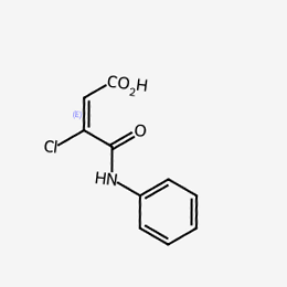 O=C(O)/C=C(/Cl)C(=O)Nc1ccccc1